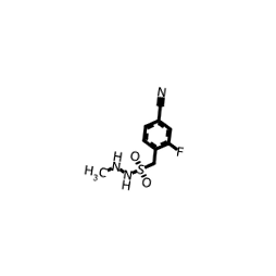 CNNS(=O)(=O)Cc1ccc(C#N)cc1F